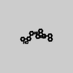 Oc1ccc(-c2cccc(Nc3cccc(O)c3-c3ccccc3-c3cccc(-c4cccc5ccccc45)c3)c2)cc1-c1ccccc1